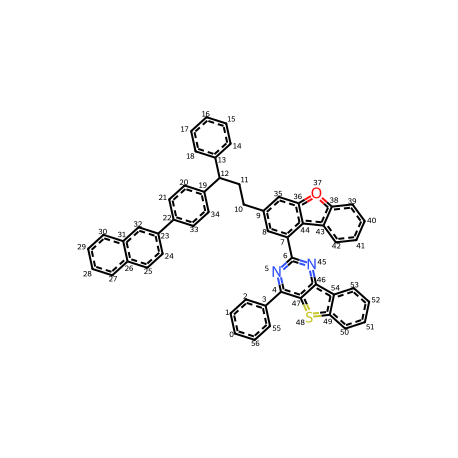 c1ccc(-c2nc(-c3cc(CCC(c4ccccc4)c4ccc(-c5ccc6ccccc6c5)cc4)cc4oc5ccccc5c34)nc3c2sc2ccccc23)cc1